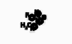 Cc1cc(-n2ccc(=O)c(-c3ccnn3-c3cccc(F)c3)n2)ccn1